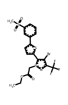 CCOC(=O)Cn1nc(C(F)(F)F)c(Br)c1-c1ccc(-c2cccc(S(C)(=O)=O)c2)s1